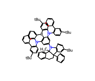 CC(C)(C)c1ccc2c(c1)B1c3ccccc3N(c3ccc(C(C)(C)C)cc3-c3ccccc3)c3cc(N4c5ccc(C(C)(C)C)cc5C5(c6ccccc6)CCc6ccccc6C45C)cc(c31)N2c1ccc(C(C)(C)C)cc1-c1ccccc1